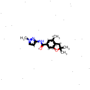 Cc1cc(C(=O)Nc2ccn(C)n2)cc2c1CC(C)(C)O2